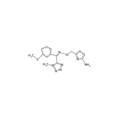 CSc1cccc(C(=NOCc2csc(N)n2)c2nnnn2C)c1